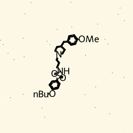 CCCCOc1ccc(S(=O)(=O)NCCCN2CCC(Cc3ccc(OC)cc3)CC2)cc1